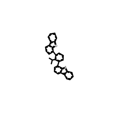 CC(C)c1c(-c2cccc3c2oc2ccccc23)cccc1-c1cccc2c1sc1ccccc12